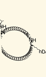 CCCCCCCCCCCCCCCC1CCCCCCCCCCCCCCCCCCCCCCCCCCCCCCC(=O)N(CCC(=O)NN=C2CC(C)CC(C)(C)C2)CCCCCCCCCCCCOCCC(C)(C)NC(C)(C)C1